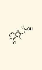 Cc1c(CC(=O)O)sc2cccc(Cl)c12